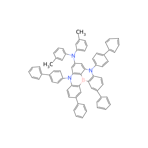 Cc1cccc(N(c2cccc(C)c2)c2cc3c4c(c2)N(c2ccc(-c5ccccc5)cc2)c2ccc(-c5ccccc5)cc2B4c2cc(-c4ccccc4)ccc2N3c2ccc(-c3ccccc3)cc2)c1